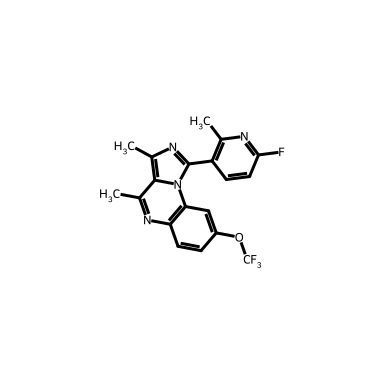 Cc1nc(F)ccc1-c1nc(C)c2c(C)nc3ccc(OC(F)(F)F)cc3n12